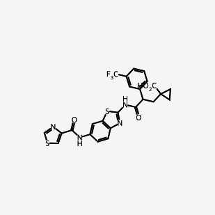 O=C(Nc1ccc2nc(NC(=O)C(CC3(C(=O)O)CC3)c3cccc(C(F)(F)F)c3)sc2c1)c1cscn1